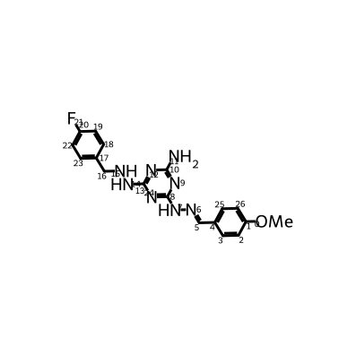 COc1ccc(C=NNc2nc(N)nc(NNCc3ccc(F)cc3)n2)cc1